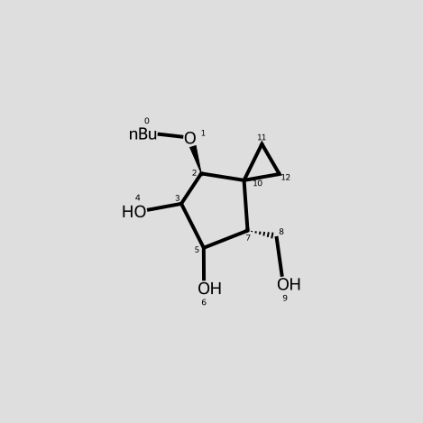 CCCCO[C@@H]1C(O)C(O)[C@@H](CO)C12CC2